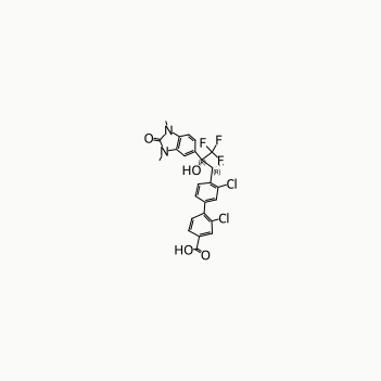 C[C@H](c1ccc(-c2ccc(C(=O)O)cc2Cl)cc1Cl)[C@@](O)(c1ccc2c(c1)n(C)c(=O)n2C)C(F)(F)F